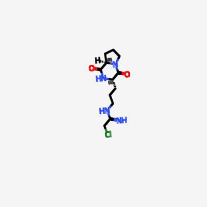 N=C(CCl)NCCC[C@@H]1NC(=O)[C@H]2CCCN2C1=O